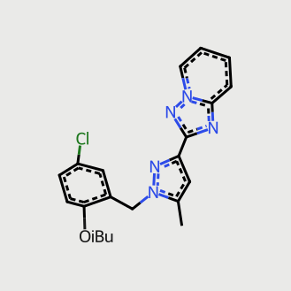 Cc1cc(-c2nc3ccccn3n2)nn1Cc1cc(Cl)ccc1OCC(C)C